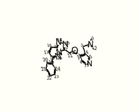 CN(C)Cc1cnccc1OCc1nnc2ccc(-c3ccccc3)nn12